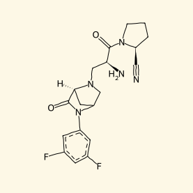 N#C[C@@H]1CCCN1C(=O)[C@@H](N)CN1CC2C[C@H]1C(=O)N2c1cc(F)cc(F)c1